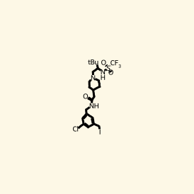 CC(C)(C)C(CN1CCC(CC(=O)NCc2cc(Cl)cc(CI)c2)CC1)NS(=O)(=O)C(F)(F)F